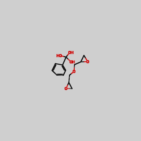 C(OCC1CO1)C1CO1.OC(O)(O)c1ccccc1